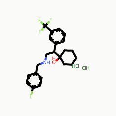 Cl.Cl.OC1(C(CNCc2ccc(F)cc2)c2cccc(C(F)(F)F)c2)CCCCC1